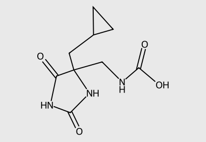 O=C(O)NCC1(CC2CC2)NC(=O)NC1=O